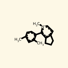 Cc1ccc(-c2c3c(cc[n+]2C)CCC3)c(C)c1